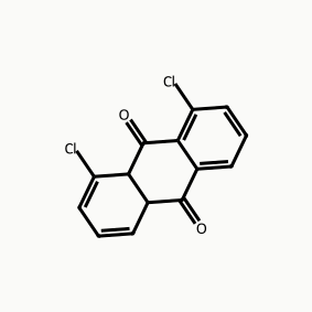 O=C1c2cccc(Cl)c2C(=O)C2C(Cl)=CC=CC12